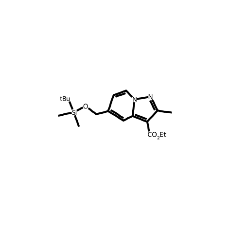 CCOC(=O)c1c(C)nn2ccc(CO[Si](C)(C)C(C)(C)C)cc12